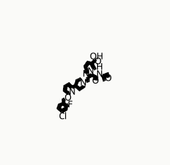 O=C(O)c1ccc2nc(CN3CCC(c4cccc(OCc5ccc(Cl)cc5F)n4)CC3)c(C(=O)NC3COC3)n2c1